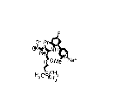 COc1cc(-c2cc(F)cc(C(C)C)c2Nc2nc(S(=O)[O-])nn2COCC[Si](C)(C)C)ccn1.[Na+]